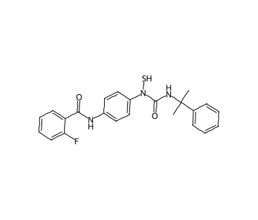 CC(C)(NC(=O)N(S)c1ccc(NC(=O)c2ccccc2F)cc1)c1ccccc1